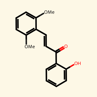 COc1cccc(OC)c1/C=C/C(=O)c1ccccc1O